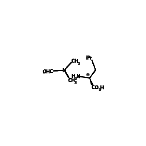 CC(C)C[C@H](N)C(=O)O.CN(C)C=O